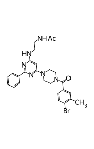 CC(=O)NCCNc1cc(N2CCN(C(=O)c3ccc(Br)c(C)c3)CC2)nc(-c2ccccc2)n1